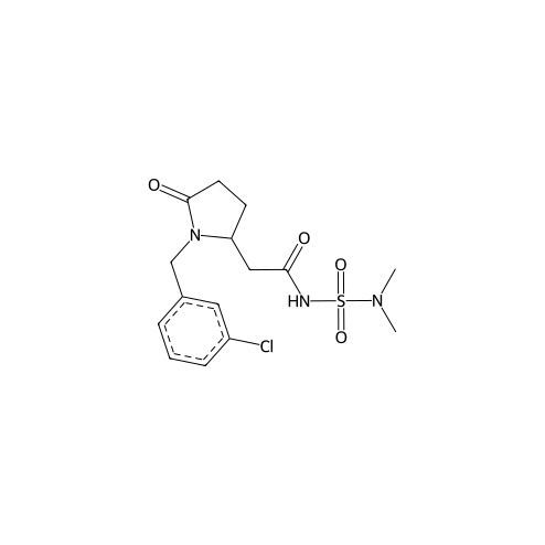 CN(C)S(=O)(=O)NC(=O)CC1CCC(=O)N1Cc1cccc(Cl)c1